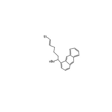 CCC=CCCCC(CCCC)c1cccc2cc3ccccc3cc12